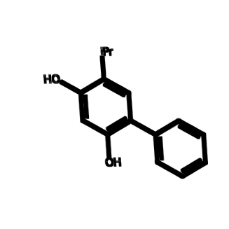 CC(C)c1cc(-c2ccccc2)c(O)cc1O